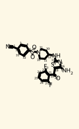 N#Cc1ccc(S(=O)(=O)N2CCC(Nc3nc(N)c(C(=O)c4c(F)cccc4F)s3)CC2)cc1